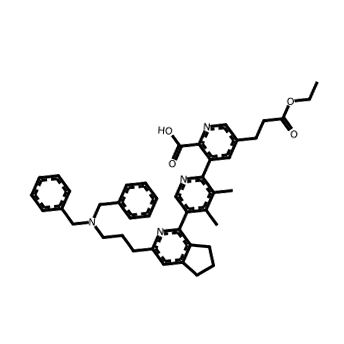 CCOC(=O)CCc1cnc(C(=O)O)c(-c2ncc(-c3nc(CCCN(Cc4ccccc4)Cc4ccccc4)cc4c3CCC4)c(C)c2C)c1